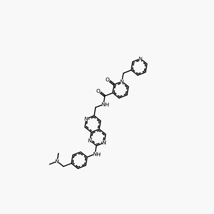 CN(C)Cc1ccc(Nc2ncc3cc(CNC(=O)c4cccn(Cc5cccnc5)c4=O)ncc3n2)cc1